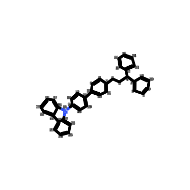 c1ccc(C(CCc2ccc(-c3ccc(-n4c5ccccc5c5ccccc54)cc3)cc2)c2ccccc2)cc1